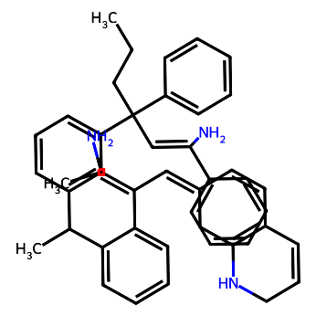 CCCC(/C=C(\N)c1ccccc1)(c1ccccc1)c1cccc(C(C)c2ccccc2C(/C=C2/C=CC3=C(C2)NCC=C3)=C(\C)N)c1